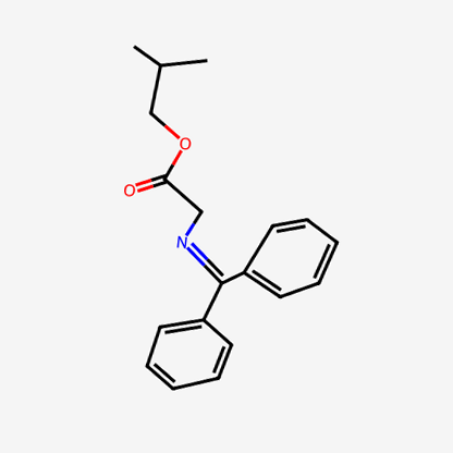 CC(C)COC(=O)CN=C(c1ccccc1)c1ccccc1